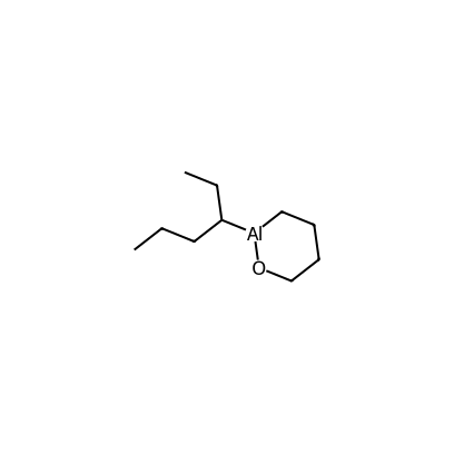 CCC[CH](CC)[Al]1[CH2]CCC[O]1